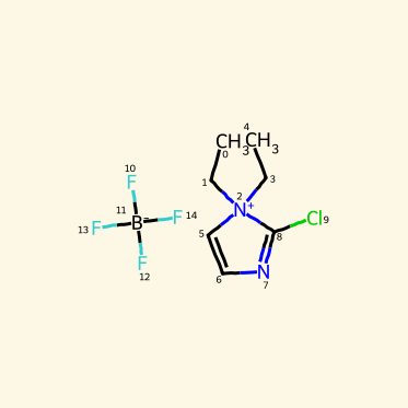 CC[N+]1(CC)C=CN=C1Cl.F[B-](F)(F)F